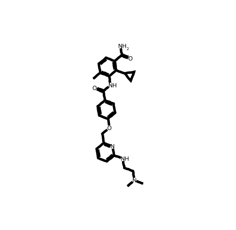 Cc1ccc(C(N)=O)c(C2CC2)c1NC(=O)c1ccc(OCc2cccc(NCCN(C)C)n2)cc1